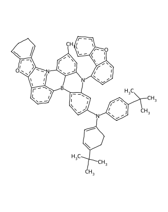 Cc1cc2c3c(c1)-n1c4c(cccc4c4oc5c(c41)=CCCC=5)B3c1ccc(N(C3=CC=C(C(C)(C)C)CC3)c3ccc(C(C)(C)C)cc3)cc1N2c1cccc2oc3ccccc3c12